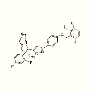 C[C@@H](c1cc(-c2ccc(OCc3c(F)ccc(F)c3F)cc2)no1)[C@](O)(Cn1cncn1)c1ccc(F)cc1F